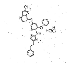 Cc1cc2nccc(Sc3cnc(Nc4nc(CCc5ccccc5)cs4)c(Oc4ccccc4)c3)c2s1.Cl.Cl